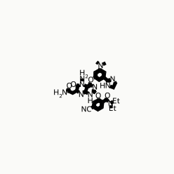 CCN(CC)C(=O)c1ccc(C#N)cc1OC1=NC(Oc2cc(C3=NCCN3)cc(N(C)C)c2)=C2C(=NC(CC(N)=O)C(=O)N2N)N1